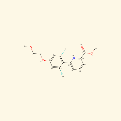 COCCOc1cc(F)c(-c2cccc(C(=O)OC)n2)c(F)c1